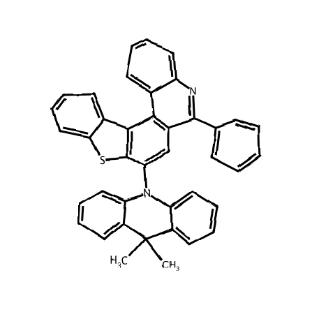 CC1(C)c2ccccc2N(c2cc3c(-c4ccccc4)nc4ccccc4c3c3c2sc2ccccc23)c2ccccc21